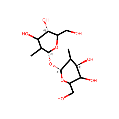 CC1C(O)[C@H](O)C(CO)O[C@@H]1O[C@H]1OC(CO)C(O)[C@H](O)C1C